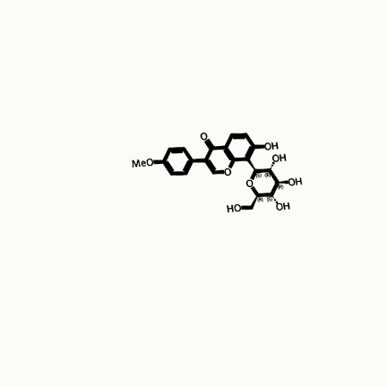 COc1ccc(-c2coc3c([C@@H]4O[C@H](CO)[C@@H](O)[C@H](O)[C@H]4O)c(O)ccc3c2=O)cc1